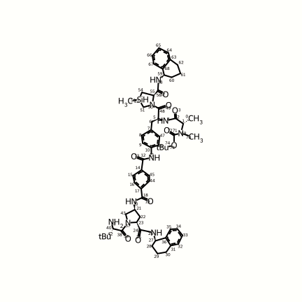 C[C@@H](C(=O)N[C@@H](Cc1ccc(NC(=O)c2ccc(C(=O)N[C@H]3C[C@@H](C(=O)N[C@@H]4CCCc5ccccc54)N(C(=O)[C@@H](N)C(C)(C)C)C3)cc2)cc1)C(=O)N1C[SiH](C)C[C@H]1C(=O)N[C@@H]1CCCc2ccccc21)N(C)C(=O)OC(C)(C)C